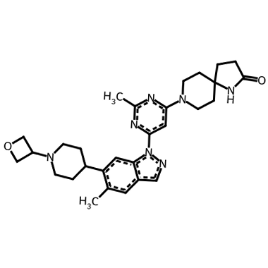 Cc1nc(N2CCC3(CCC(=O)N3)CC2)cc(-n2ncc3cc(C)c(C4CCN(C5COC5)CC4)cc32)n1